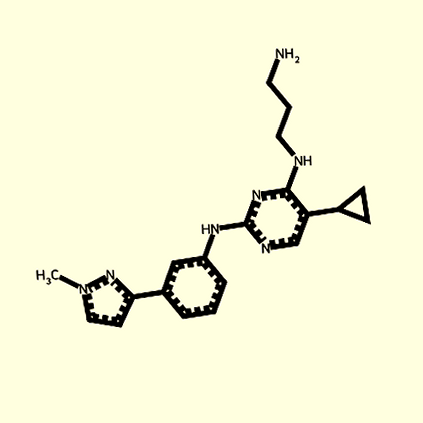 Cn1ccc(-c2cccc(Nc3ncc(C4CC4)c(NCCCN)n3)c2)n1